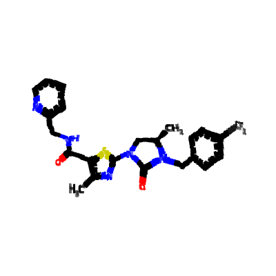 Cc1nc(N2C[C@@H](C)N(Cc3ccc(C(F)(F)F)cc3)C2=O)sc1C(=O)NCc1ccccn1